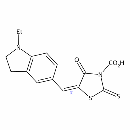 CCN1CCc2cc(/C=C3/SC(=S)N(C(=O)O)C3=O)ccc21